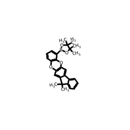 CC1(C)c2ccccc2-c2cc3c(cc21)Oc1cccc(B2OC(C)(C)C(C)(C)O2)c1O3